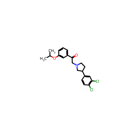 CC(C)Oc1cccc(C(=O)CN2CCC(c3ccc(Cl)c(Cl)c3)C2)c1